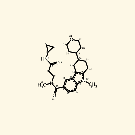 CN(CCC(=O)NC1CC1)C(=O)c1ccc2c(c1)c1c(n2C)CCC(C2CCOCC2)C1